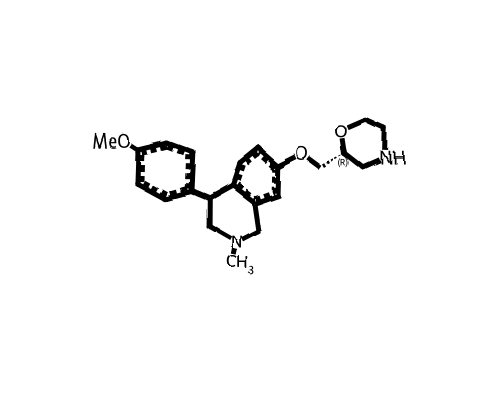 COc1ccc(C2CN(C)Cc3cc(OC[C@H]4CNCCO4)ccc32)cc1